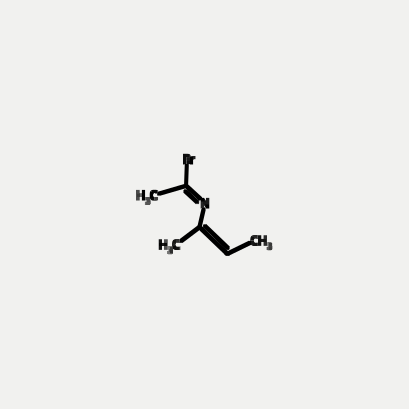 C/C=C(C)\N=C(/C)Br